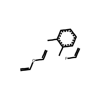 C=CF.C=COC=C.Cc1ccccc1C